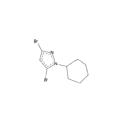 Brc1cc(Br)n(C2CCCCC2)n1